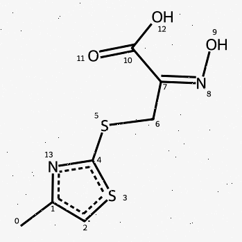 Cc1[c]sc(SC/C(=N/O)C(=O)O)n1